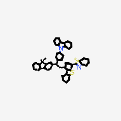 CC1(C)c2ccccc2-c2ccc(C(Cc3ccc(-c4nc5ccccc5s4)c4sc5ccccc5c34)c3ccc(-n4c5ccccc5c5ccccc54)cc3)cc21